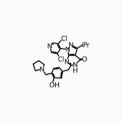 CC(C)c1nn(-c2c(Cl)cncc2Cl)c2nc(Cc3ccc(CN4CCCC4)c(O)c3)[nH]c(=O)c12